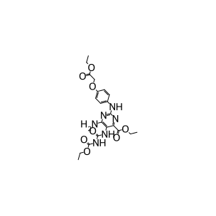 CCOC(=O)COc1ccc(Nc2nc(N)c(NC(=O)NC(=O)OCC)c(C(=O)OCC)n2)cc1